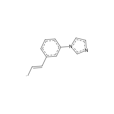 [CH2]/C=C/c1cccc(-n2ccnc2)c1